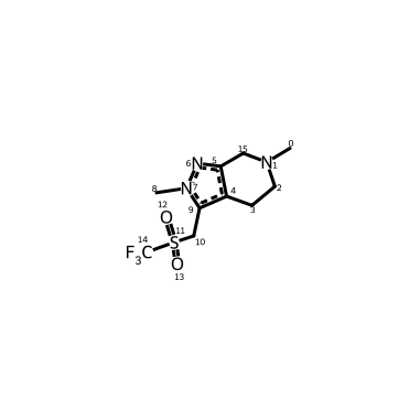 CN1CCc2c(nn(C)c2CS(=O)(=O)C(F)(F)F)C1